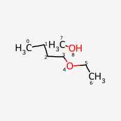 CCCCOCC.CO